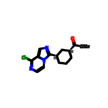 COC(=O)[C@@H]1CCC[C@H](c2ncc3c(Cl)nccn23)C1